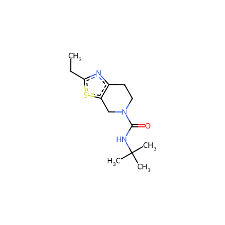 CCc1nc2c(s1)CN(C(=O)NC(C)(C)C)CC2